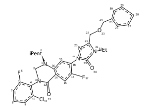 CCC[C@H](C)N1CN(c2c(F)cccc2Cl)C(=O)c2cc(F)c(-n3nc(COCc4ccccc4)n(CC)c3=O)cc21